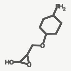 BC1CCC(OCC2OC2O)CC1